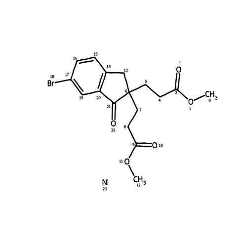 COC(=O)CCC1(CCC(=O)OC)Cc2ccc(Br)cc2C1=O.[N]